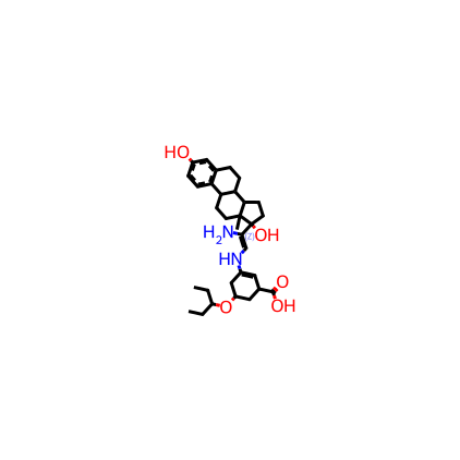 CCC(CC)OC1CC(N/C=C(\N)C2(O)CCC3C4CCc5cc(O)ccc5C4CCC32C)=CC(C(=O)O)C1